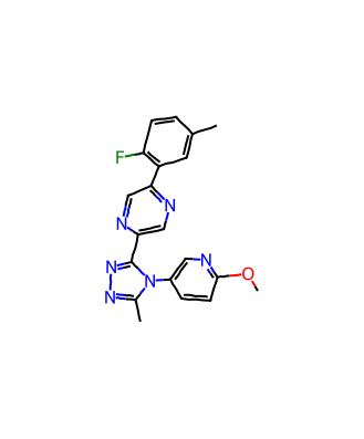 COc1ccc(-n2c(C)nnc2-c2cnc(-c3cc(C)ccc3F)cn2)cn1